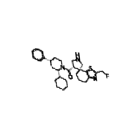 O=C([C@@H]1CNC[C@]12CCCc1nc(CF)sc12)N1CC[C@@H](c2ccccc2)C[C@H]1C1CCCCC1